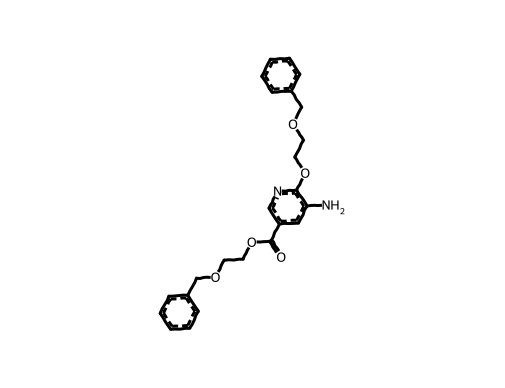 Nc1cc(C(=O)OCCOCc2ccccc2)cnc1OCCOCc1ccccc1